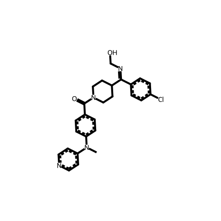 CN(c1ccncc1)c1ccc(C(=O)N2CCC(/C(=N\CO)c3ccc(Cl)cc3)CC2)cc1